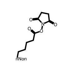 CCCCCCCCCCCCCC(=O)ON1C(=O)CCC1=O